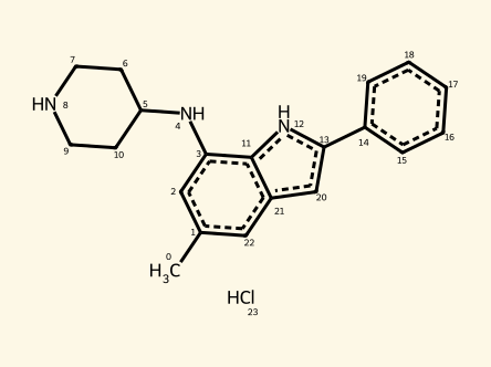 Cc1cc(NC2CCNCC2)c2[nH]c(-c3ccccc3)cc2c1.Cl